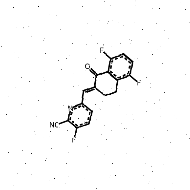 N#Cc1nc(/C=C2\CCc3c(F)ccc(F)c3C2=O)ccc1F